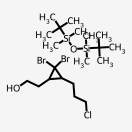 CC(C)(C)[Si](C)(C)O[Si](C)(C)C(C)(C)C.OCCC1C(CCCCl)C1(Br)Br